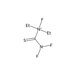 CC[N+](F)(CC)C(=S)N(F)F